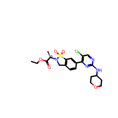 CCOC(=O)[C@@H](C)N1Cc2ccc(-c3nc(NC4CCOCC4)ncc3Cl)cc2S1(=O)=O